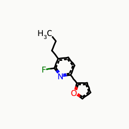 CCCc1ccc(-c2ccco2)nc1F